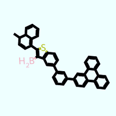 Bc1c(C2=C3C=CC=CC3C(C)C=C2)sc2ccc(-c3cccc(-c4ccc5c6ccccc6c6ccccc6c5c4)c3)cc12